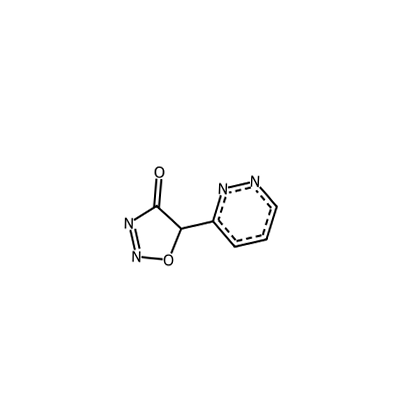 O=C1N=NOC1c1cccnn1